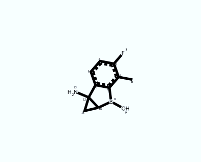 Cc1c(F)ccc2c1B(O)C1CC21N